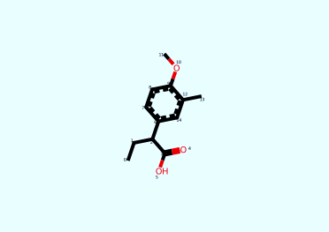 CCC(C(=O)O)c1ccc(OC)c(C)c1